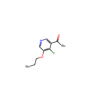 CC(C)(C)CCOc1cncc(C(=O)C(C)(C)C)c1F